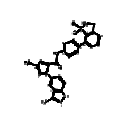 Nc1noc2ccc(-n3nc(C(F)(F)F)cc3C(=O)Nc3ccc(-c4cccc5c4S(O)(O)NC5)cc3)cc12